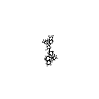 C1=NC(c2ccc(-c3ccc(C4(c5cccc6ccccc56)N=CC=N4)cc3)cc2)(c2cccc3ccccc23)N=C1